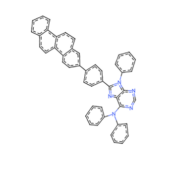 c1ccc(N(c2ccccc2)c2ncnc3c2nc(-c2ccc(-c4ccc5c(ccc6c7ccccc7ccc56)c4)cc2)n3-c2ccccc2)cc1